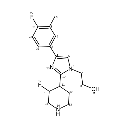 Cc1cc(-c2cn(CCO)c(C3CCNCC3F)n2)ccc1F